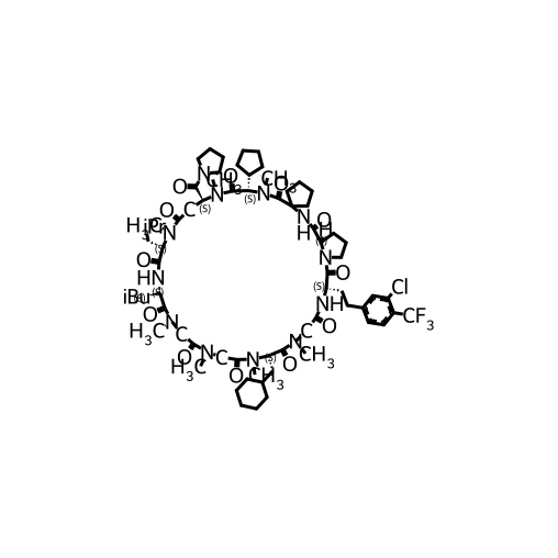 CC[C@H](C)[C@@H]1NC(=O)[C@H](CC(C)C)N(C)C(=O)C[C@@H](C(=O)N2CCCC2)N(C)C(=O)[C@H](C2CCCC2)N(C)C(=O)C2(CCCC2)NC(=O)[C@@H]2CCCN2C(=O)[C@H](CCc2ccc(C(F)(F)F)c(Cl)c2)NC(=O)CN(C)C(=O)[C@H](CC2CCCCC2)N(C)C(=O)CN(C)C(=O)CN(C)C1=O